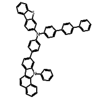 c1ccc(-c2ccc(-c3ccc(N(c4ccc(-c5ccc6c7ccc8ccccc8c7n(-c7ccccc7)c6c5)cc4)c4ccc5c(c4)sc4ccccc45)cc3)cc2)cc1